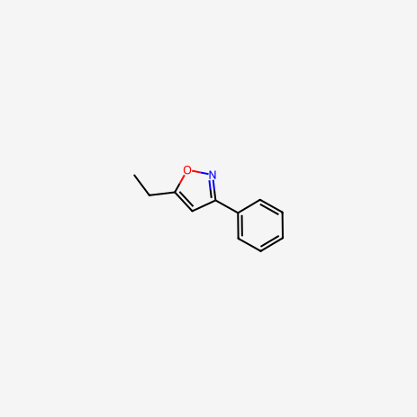 CCc1cc(-c2ccccc2)no1